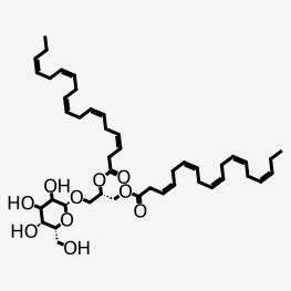 CC/C=C\C/C=C\C/C=C\C/C=C\C/C=C\CC(=O)OC[C@H](CO[C@@H]1O[C@H](CO)[C@H](O)C(O)C1O)OC(=O)C/C=C\C/C=C\C/C=C\C/C=C\C/C=C\CC